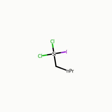 CCCC[Si](Cl)(Cl)I